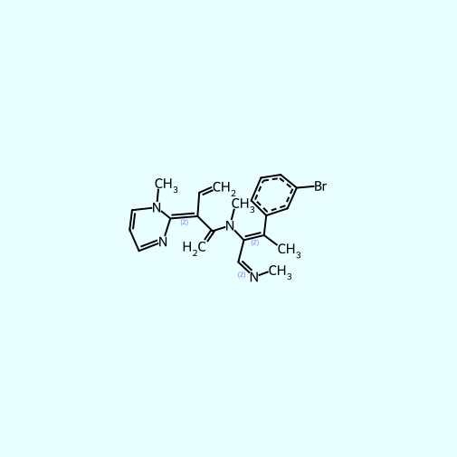 C=C/C(C(=C)N(C)C(/C=N\C)=C(/C)c1cccc(Br)c1)=C1/N=CC=CN1C